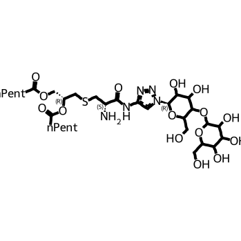 CCCCCC(=O)OC[C@H](CSC[C@@H](N)C(=O)Nc1cn([C@@H]2OC(CO)C(OC3OC(CO)C(O)C(O)C3O)C(O)C2O)nn1)OC(=O)CCCCC